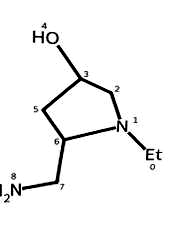 CCN1CC(O)CC1CN